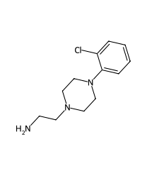 NCCN1CCN(c2ccccc2Cl)CC1